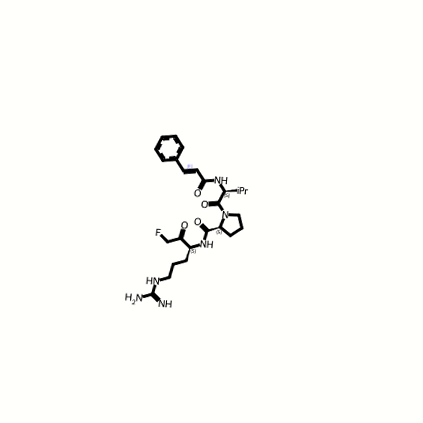 CC(C)[C@H](NC(=O)/C=C/c1ccccc1)C(=O)N1CCC[C@H]1C(=O)N[C@@H](CCCNC(=N)N)C(=O)CF